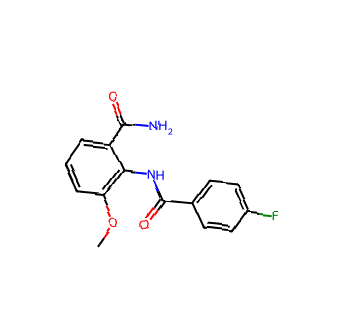 COc1cccc(C(N)=O)c1NC(=O)c1ccc(F)cc1